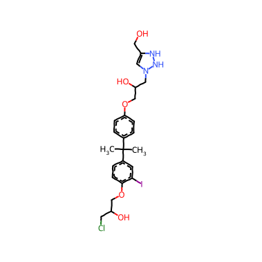 CC(C)(c1ccc(OCC(O)CN2C=C(CO)NN2)cc1)c1ccc(OCC(O)CCl)c(I)c1